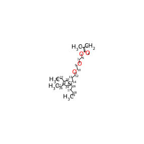 C=C(C)C(=O)OCCOCCOCCC[Si](CCCC)(CCCC)CCCC